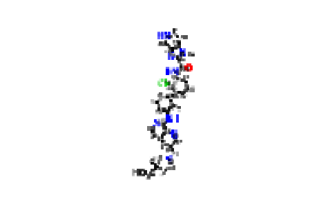 Cc1c(Nc2nccc3cc(CN4CCC(C)(C(=O)O)C4)cnc23)cccc1-c1cccc(NC(=O)c2nc3c(n2C)CCNC3)c1Cl